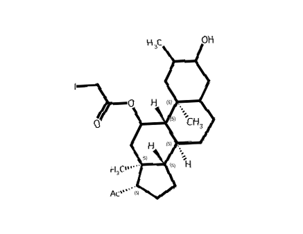 CC(=O)[C@H]1CC[C@H]2[C@@H]3CCC4CC(O)C(C)C[C@]4(C)[C@H]3C(OC(=O)CI)C[C@]12C